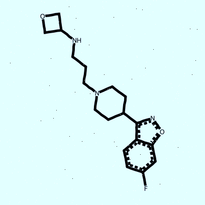 Fc1ccc2c(C3CCN(CCCNC4COC4)CC3)noc2c1